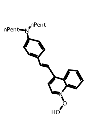 CCCCCN(CCCCC)c1ccc(C=Cc2cc[n+](OO)c3ccccc23)cc1